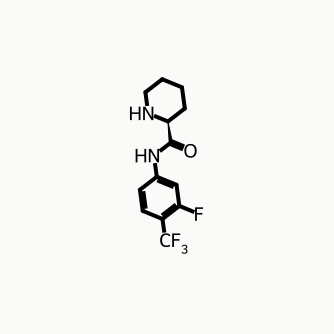 O=C(Nc1ccc(C(F)(F)F)c(F)c1)[C@@H]1CCCCN1